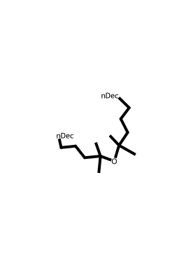 CCCCCCCCCCCCCC(C)(C)OC(C)(C)CCCCCCCCCCCCC